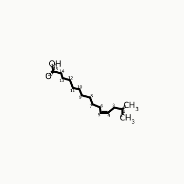 CC(C)C/C=C\CCCCCCCCCC(=O)O